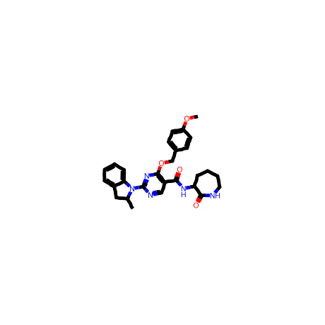 COc1ccc(COc2nc(N3c4ccccc4CC3C)ncc2C(=O)NC2CCCCNC2=O)cc1